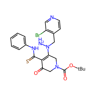 CC(C)(C)OC(=O)N1CC(=O)C(C(=S)Nc2ccccc2)=C(N(N)Cc2ccncc2Br)C1